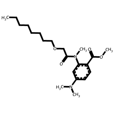 CCCCCCCCOCC(=O)N(C)c1cc(N(C)C)ccc1C(=O)OC